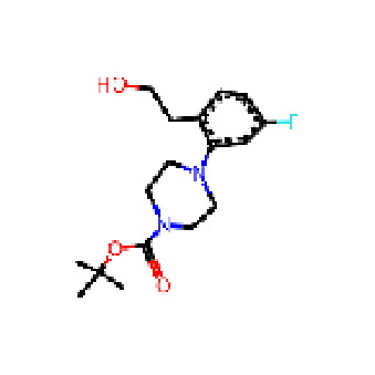 CC(C)(C)OC(=O)N1CCN(c2cc(F)ccc2CCO)CC1